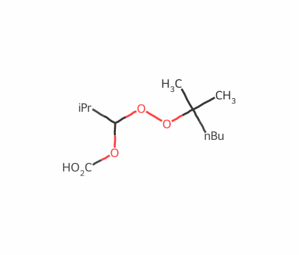 CCCCC(C)(C)OOC(OC(=O)O)C(C)C